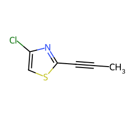 CC#Cc1nc(Cl)cs1